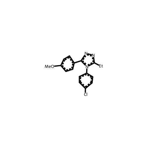 CCc1nnc(-c2ccc(OC)cc2)n1-c1ccc(Cl)cc1